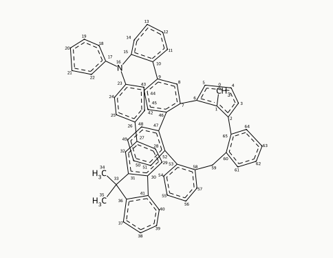 Cc1c2cccc1-c1cc(-c3ccccc3N(c3ccccc3)c3ccc(-c4ccc5c(c4)C(C)(C)c4ccccc4-5)cc3)ccc1-c1ccccc1-c1ccccc1Cc1ccccc1-2